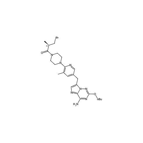 CCCCOc1nc(N)c2ncc(Cc3cnc(N4CCN(C(=O)[C@@H](C)CC(C)C)CC4)c(C)c3)n2n1